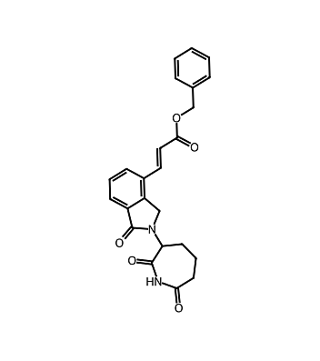 O=C1CCCC(N2Cc3c(/C=C/C(=O)OCc4ccccc4)cccc3C2=O)C(=O)N1